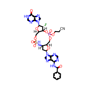 N#CCCOP1(=O)OC[C@H]2O[C@@H](n3cnc4c(NC(=O)c5ccccc5)ncnc43)C[C@@H]2NS(=O)(=O)OC[C@H]2O[C@@H](n3cnc4c(=O)[nH]cnc43)[C@H](F)[C@@H]2O1